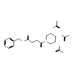 CC(=O)N[C@H]1CN(C(=O)CCC(=O)OCc2ccccc2)C[C@H](OC(C)=O)[C@@H]1OC(C)=O